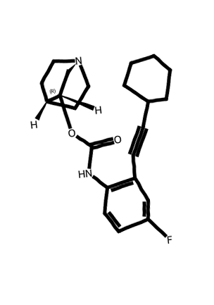 O=C(Nc1ccc(F)cc1C#CC1CCCCC1)O[C@H]1C[N@]2CC[C@H]1CC2